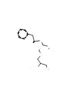 NCC(CNC[C@@H](NC(=O)Cc1ccccc1)B(O)O)C(=O)O